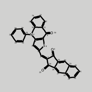 O=C1C(=Cc2cc3c(s2)c(=O)c2ccccc2n3-c2ccccc2)C(=O)c2cc3ccccc3cc21